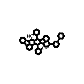 N#Cc1ccccc1-c1c2cc3c4ccccc4c4cccc(c2c(-c2ccccc2C#N)c2c5ccc(-c6cccc(-c7ccccc7)c6)c6cccc(c12)c65)c43